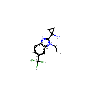 CCn1c(C2(N)CC2)nc2ccc(C(F)(F)F)cc21